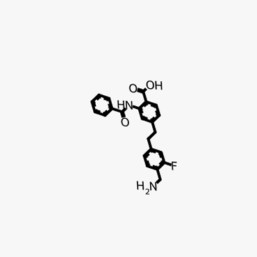 NCc1ccc(CCc2ccc(C(=O)O)c(NC(=O)c3ccccc3)c2)cc1F